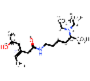 C/C=C(\CC(=O)NCCCCC(C(=O)O)N(CC(=O)O)CC(=O)O)C[C@@H](O)CCC